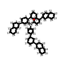 c1ccc(-c2ccc(-c3ccc4ccccc4c3)cc2N(c2ccc(-c3cccc(-c4ccc5ccccc5c4)c3)cc2)c2ccc(-c3ccc4ccccc4c3)cc2)cc1